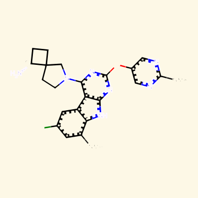 CNc1ncc(Oc2nc(N3CCC4(CC[C@H]4N)C3)c3c(n2)[nH]c2c(NC)cc(F)cc23)cn1